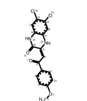 COc1ccc(C(=O)C=C2Nc3cc(Cl)c(Cl)cc3NC2=O)cc1